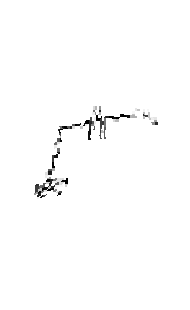 CCCCCNC(=O)NCCCC/C=C\CCCCCCc1noc(=S)[nH]1